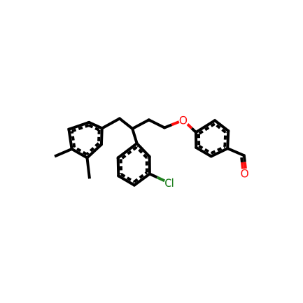 Cc1ccc(CC(CCOc2ccc(C=O)cc2)c2cccc(Cl)c2)cc1C